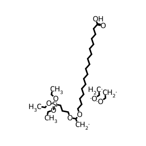 [CH2]C(OCCCCCCCCCCCCCCCCCC(=O)O)OCCC[Si](OCC)(OCC)OCC.[CH2]C[O].[CH2]C[O]